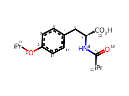 CC(C)Oc1ccc(C[C@H](NC(=O)C(C)C)C(=O)O)cc1